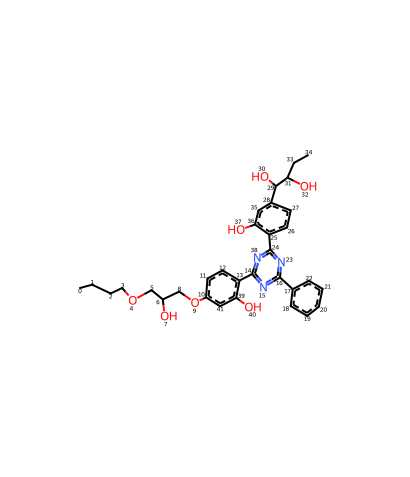 CCCCOCC(O)COc1ccc(-c2nc(-c3ccccc3)nc(-c3ccc(C(O)C(O)CC)cc3O)n2)c(O)c1